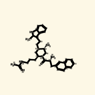 CC1Nc2ccccc2C1CCN1C[C@H](CCCNC(=N)N)N(C(=O)[C@H](N)Cc2ccc3ccccc3c2)C[C@H]1C